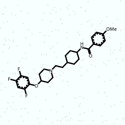 COc1ccc(C(=O)NC2CCC(CCN3CCC(Oc4cc(F)c(F)cc4F)CC3)CC2)cc1